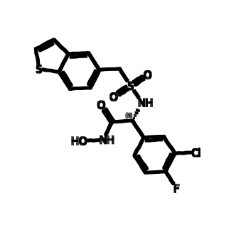 O=C(NO)[C@H](NS(=O)(=O)Cc1ccc2sccc2c1)c1ccc(F)c(Cl)c1